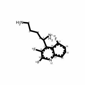 NCCCCC(N)c1c(F)c(F)nc2cccc(F)c12